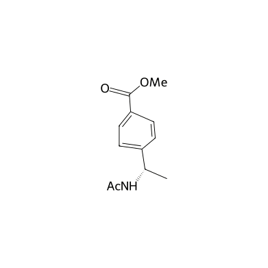 COC(=O)c1ccc([C@H](C)NC(C)=O)cc1